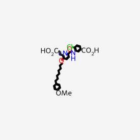 COc1ccc(CCCCCCCCOc2ccc(C(=O)Nc3cc(C(=O)O)ccc3Cl)nc2/C=C/C(=O)O)cc1